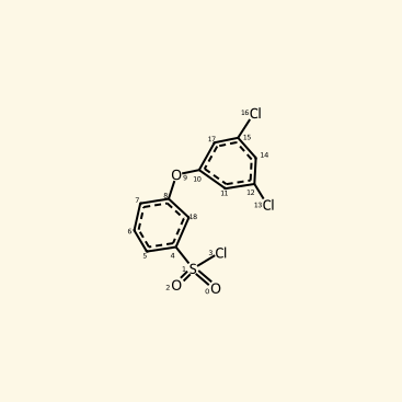 O=S(=O)(Cl)c1cccc(Oc2cc(Cl)cc(Cl)c2)c1